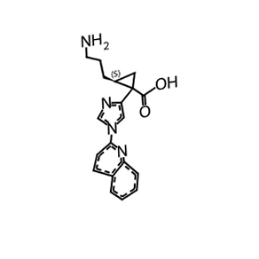 NCCC[C@H]1CC1(C(=O)O)c1cn(-c2ccc3ccccc3n2)cn1